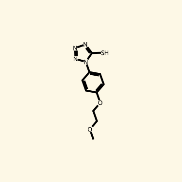 COCCOc1ccc(-n2nnnc2S)cc1